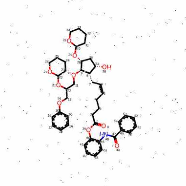 O=C(CCC/C=C\C[C@@H]1[C@@H](OCC(COc2ccccc2)OC2CCCCO2)[C@H](OC2CCCCO2)C[C@@H]1O)Oc1ccccc1NC(=O)c1ccccc1